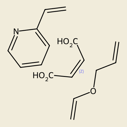 C=CCOC=C.C=Cc1ccccn1.O=C(O)/C=C\C(=O)O